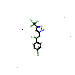 FC(F)(F)c1cc(CC(Cl)c2ccc(Br)cc2)[nH]n1